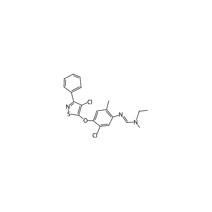 CCN(C)C=Nc1cc(Cl)c(Oc2snc(-c3ccccc3)c2Cl)cc1C